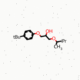 CC(C)C(C)OCC(O)COc1ccc(C(C)(C)C)cc1